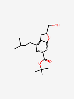 CC(C)CCc1cc(C(=O)OC(C)(C)C)cc2c1CC(CO)O2